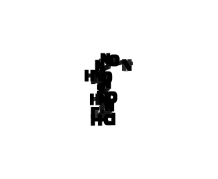 CC(NC(=O)c1cc(OCCN(C)C)ncn1)c1ncc(C(=O)Nc2cc(C(F)(F)F)c(Cl)cn2)s1